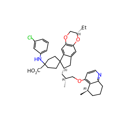 CC[C@H]1COc2cc3c(cc2O1)C[C@H](C[C@@H](C)COc1ccnc2c1[C@H](C)CCC2)C31CCC(Nc2cccc(Cl)c2)(C(=O)O)CC1